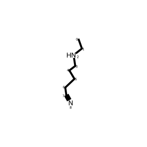 CCNCCCCC#N